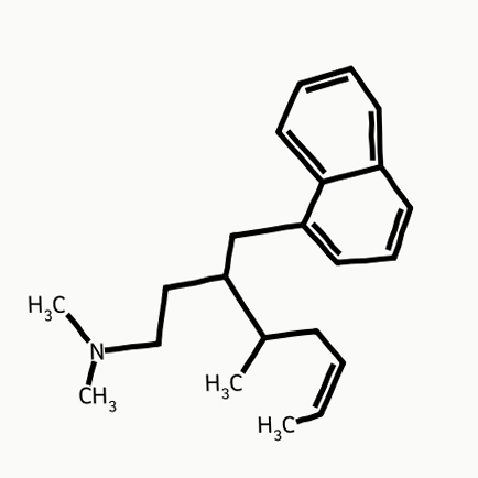 C/C=C\CC(C)C(CCN(C)C)Cc1cccc2ccccc12